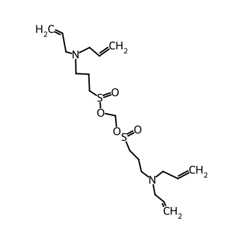 C=CCN(CC=C)CCCS(=O)OCOS(=O)CCCN(CC=C)CC=C